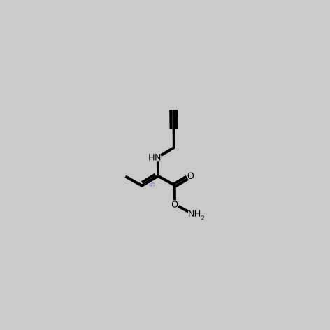 C#CCN/C(=C\C)C(=O)ON